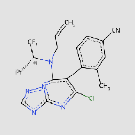 C=CCN(c1c(-c2ccc(C#N)cc2C)c(Cl)nc2ncnn12)[C@H](C(C)C)C(F)(F)F